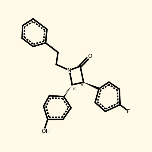 O=C1[C@@H](c2ccc(F)cc2)[C@H](c2ccc(O)cc2)N1CCc1ccccc1